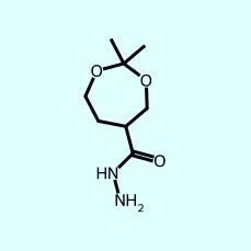 CC1(C)OCCC(C(=O)NN)CO1